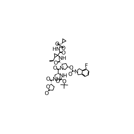 C=CC1CC1(NC(=O)[C@@H]1CC(OC(=O)N2Cc3cccc(F)c3C2)CN1C(=O)[C@H](CNC(=O)[C@@H]1CCC(=O)O1)NC(=O)OC(C)(C)C)C(=O)NS(=O)(=O)C1CC1